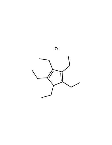 CC[C]1C(CC)=C(CC)C(CC)=C1CC.[Zr]